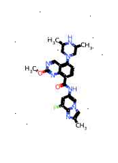 COc1ncc2c(N3CC(C)NC(C)C3)ccc(C(=O)Nc3cc(F)c4nc(C)cn4c3)c2n1